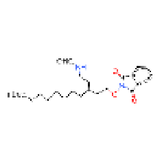 CCCCCCCCCCCCCCCCCC(CCNC=O)CCON1C(=O)c2ccccc2C1=O